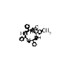 Cc1ccc(-c2c3nc(c(-c4ccccc4)c4ccc([nH]4)c(-c4ccccc4)c4nc(c(-c5ccccc5)c5ccc2[nH]5)C=C4)C=C3)c(C(=O)O)c1